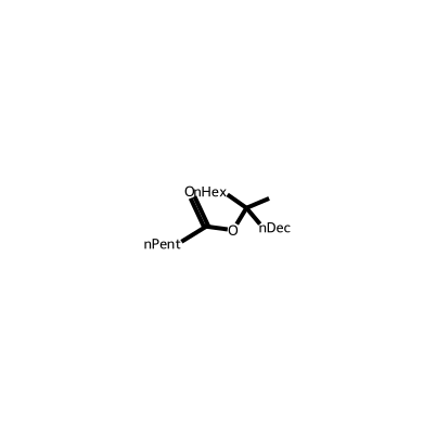 CCCCCCCCCCC(C)(CCCCCC)OC(=O)CCCCC